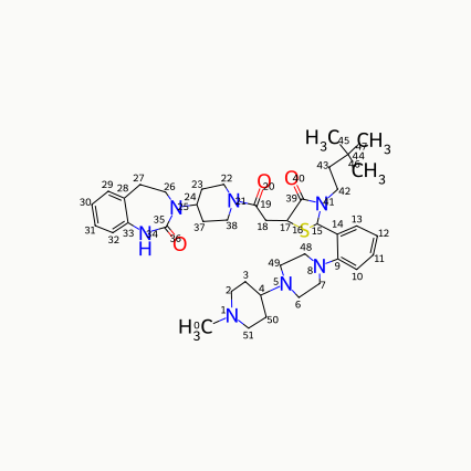 CN1CCC(N2CCN(c3ccccc3C3SC(CC(=O)N4CCC(N5CCc6ccccc6NC5=O)CC4)C(=O)N3CCC(C)(C)C)CC2)CC1